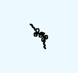 CCCCCOC(=O)c1ccc(C(=O)OCCCCC)o1